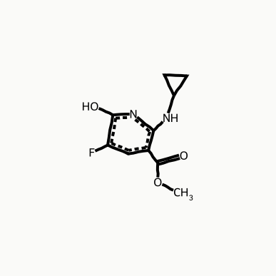 COC(=O)c1cc(F)c(O)nc1NC1CC1